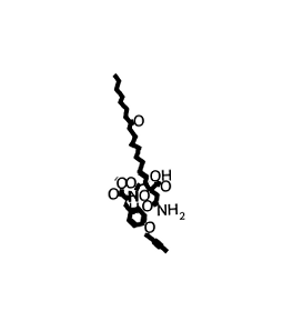 CC#CCOc1ccc(C[C@H](NC(=O)[C@@H](/C=C/CCCCCCC(=O)CCCCCCC)[C@@](O)(CC(N)=O)C(=O)O)C(=O)OC)cc1